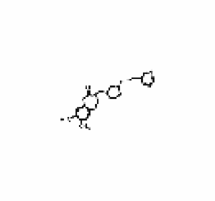 Cc1cc2c(cc1C)CC(=O)N(CC1CCCN(CCCc3cccnc3)C1)CC2